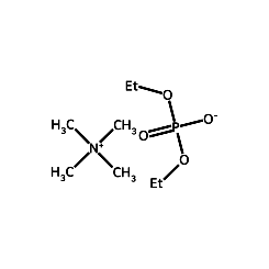 CCOP(=O)([O-])OCC.C[N+](C)(C)C